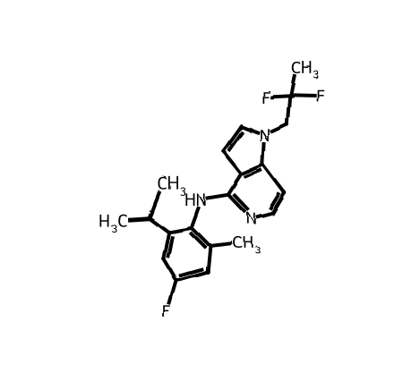 Cc1cc(F)cc(C(C)C)c1Nc1nccc2c1ccn2CC(C)(F)F